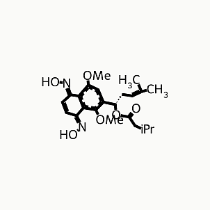 COc1cc([C@H](CC=C(C)C)OC(=O)CC(C)C)c(OC)c2c1/C(=N/O)C=C/C2=N\O